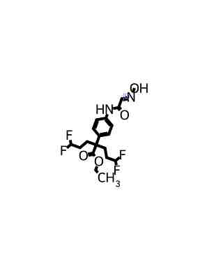 CCOC(=O)C(CCC(F)F)(CCC(F)F)c1ccc(NC(=O)/C=N/O)cc1